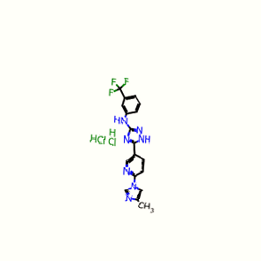 Cc1cn(-c2ccc(-c3nc(Nc4cccc(C(F)(F)F)c4)n[nH]3)cn2)cn1.Cl.Cl